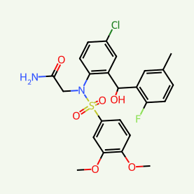 COc1ccc(S(=O)(=O)N(CC(N)=O)c2ccc(Cl)cc2C(O)c2cc(C)ccc2F)cc1OC